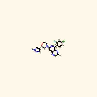 Cc1cnc2cc(N3CCO[C@H](c4cnn(C)c4)C3)nc(-c3ccc(Cl)cc3F)c2n1